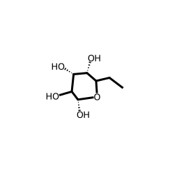 CCC1O[C@H](O)C(O)[C@H](O)[C@@H]1O